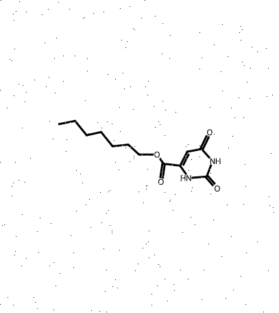 CCCCCCCOC(=O)c1cc(=O)[nH]c(=O)[nH]1